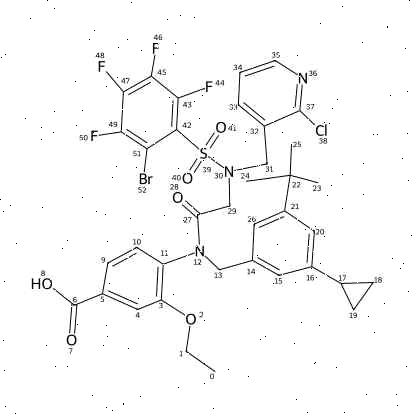 CCOc1cc(C(=O)O)ccc1N(Cc1cc(C2CC2)cc(C(C)(C)C)c1)C(=O)CN(Cc1cccnc1Cl)S(=O)(=O)c1c(F)c(F)c(F)c(F)c1Br